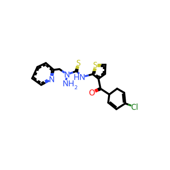 NN(Cc1ccccn1)C(=S)Nc1sccc1C(=O)C1C=CC(Cl)=CC1